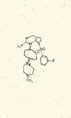 CN1CCN(c2ccc(N3c4c(ccn4S(=O)(=O)c4cccc(F)c4)C=NC3N)cc2)CC1